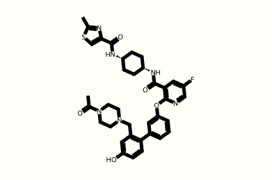 CC(=O)N1CCN(Cc2cc(O)ccc2-c2cccc(Oc3ncc(F)cc3C(=O)N[C@H]3CC[C@@H](NC(=O)c4csc(C)n4)CC3)c2)CC1